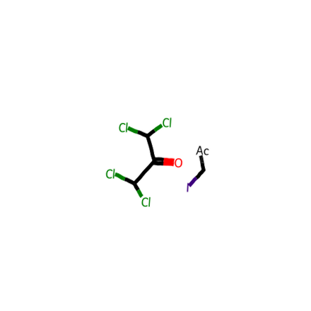 CC(=O)CI.O=C(C(Cl)Cl)C(Cl)Cl